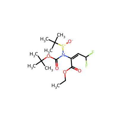 CCOC(=O)C(=CC(F)F)N(C(=O)OC(C)(C)C)[S@+]([O-])C(C)(C)C